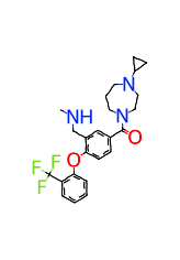 CNCc1cc(C(=O)N2CCCN(C3CC3)CC2)ccc1Oc1ccccc1C(F)(F)F